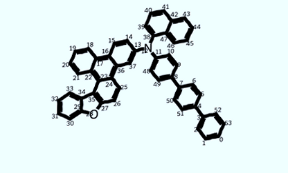 c1ccc(-c2ccc(-c3ccc(N(c4ccc5c6ccccc6c6c(ccc7oc8ccccc8c76)c5c4)c4cccc5ccccc45)cc3)cc2)cc1